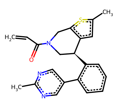 C=CC(=O)N1Cc2sc(C)cc2[C@@H](c2ccccc2-c2cnc(C)nc2)C1